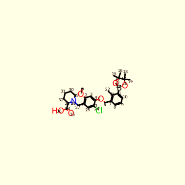 COc1cc(OCc2cccc(B3OC(C)(C)C(C)(C)O3)c2C)c(Cl)cc1CN1CCCCC1C(=O)O